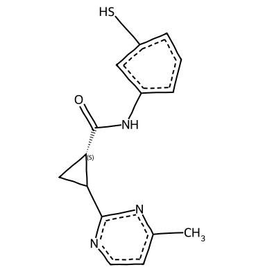 Cc1ccnc(C2C[C@@H]2C(=O)Nc2cccc(S)c2)n1